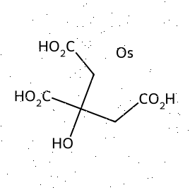 O=C(O)CC(O)(CC(=O)O)C(=O)O.[Os]